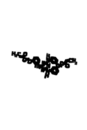 C=CC(=O)OCOc1cccc(Nc2nc(Nc3ccccc3)nc(Nc3cccc(OCOC(=O)C=C)c3)n2)c1